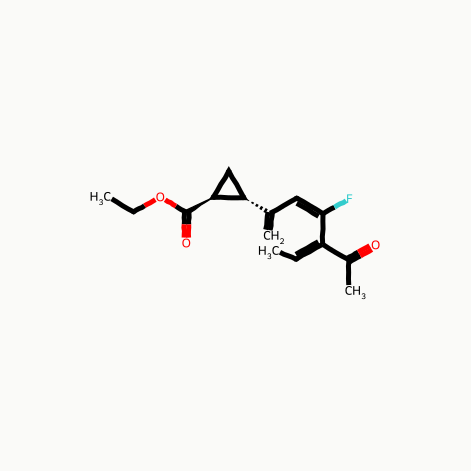 C=C(/C=C(F)\C(=C/C)C(C)=O)[C@H]1C[C@@H]1C(=O)OCC